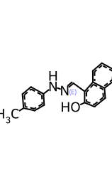 Cc1ccc(N/N=C/c2c(O)ccc3ccccc23)cc1